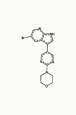 Brc1cnc2[nH]cc(-c3cnc(N4CCOCC4)nc3)c2c1